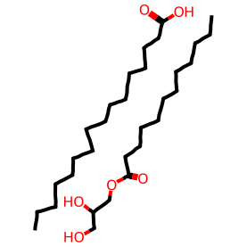 CCCCCCCCCCCC(=O)OCC(O)CO.CCCCCCCCCCCCCCCC(=O)O